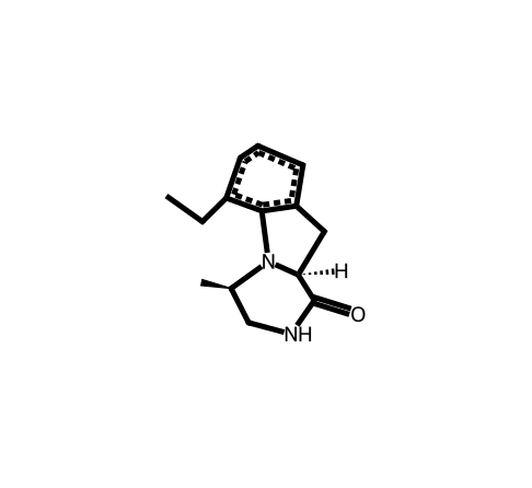 CCc1cccc2c1N1[C@H](C)CNC(=O)[C@@H]1C2